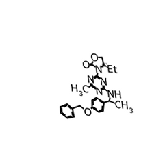 CC[C@H]1COC(=O)N1c1nc(C)nc(NC(C)c2ccc(OCc3ccccc3)cc2)n1